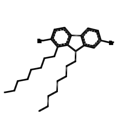 CCCCCCCCc1c(Br)ccc2c1C(CCCCCCCC)c1cc(Br)ccc1-2